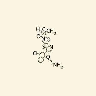 CC1(C)C2C(=O)N(Cc3cc4nccc(-c5cc(Cl)c6ccccc6c5OCCCN)c4s3)C(=O)C21